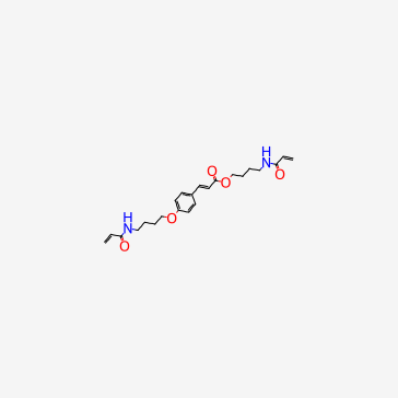 C=CC(=O)NCCCCOC(=O)C=Cc1ccc(OCCCCNC(=O)C=C)cc1